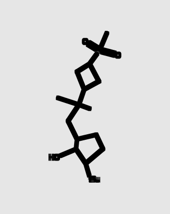 CC(C)(C)C1CCC(CC(C)(C)C2CC(S(C)(=O)=O)C2)C1O